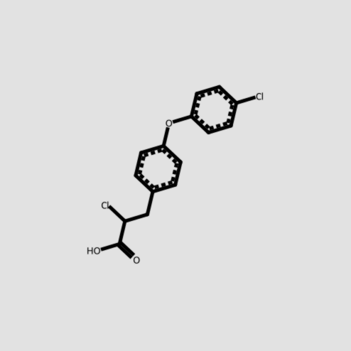 O=C(O)C(Cl)Cc1ccc(Oc2ccc(Cl)cc2)cc1